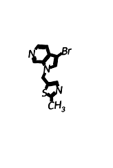 Cc1ncc(Cn2cc(Br)c3ccncc32)s1